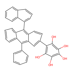 Oc1c(O)c(O)c(-c2ccc3c(-c4cccc5ccccc45)c4ccccc4c(-c4ccccc4)c3c2)c(O)c1O